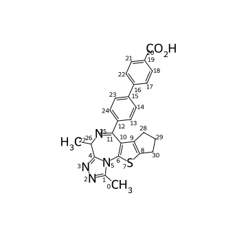 Cc1nnc2n1-c1sc3c(c1C(c1ccc(-c4ccc(C(=O)O)cc4)cc1)=NC2C)CCC3